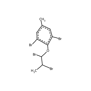 Cc1cc(Br)c(OC(Br)C(C)Br)c(Br)c1